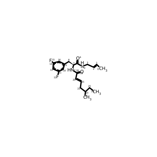 C/C=C/CNC(=O)[C@H](Cc1cc(F)cc(F)c1)NC(=O)/C=C/CC(C)CC